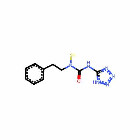 O=C(Nc1nnn[nH]1)N(S)CCc1ccccc1